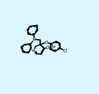 COC1=CC=NCC1(CN(c1ccccc1)c1ccccc1)Oc1ccc(Cl)cc1